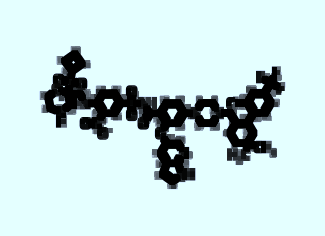 CC1(C)CCC(CN2CCN(c3ccc(C(=O)NS(=O)(=O)c4ccc(NCC5(S(=O)(=O)C6CCC6)CNCCO5)c([N+](=O)[O-])c4)c(Oc4cnc5[nH]ccc5c4)c3)CC2)=C(c2ccc(C(F)(F)F)cc2Cl)C1